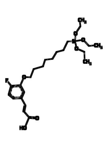 CCO[Si](CCCCCCCCOc1cc(C=CC(=O)O)ccc1F)(OCC)OCC